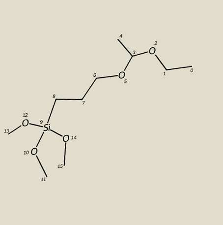 CCOC(C)OCCC[Si](OC)(OC)OC